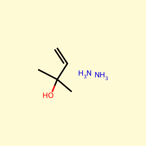 C=CC(C)(C)O.N.N